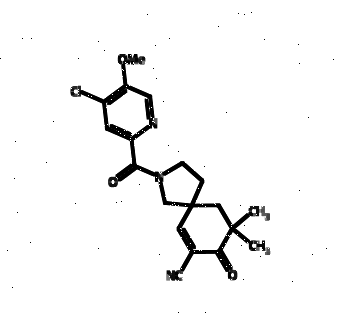 COc1cnc(C(=O)N2CCC3(C=C(C#N)C(=O)C(C)(C)C3)C2)cc1Cl